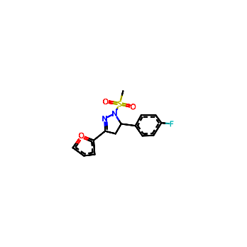 CS(=O)(=O)N1N=C(c2ccco2)CC1c1ccc(F)cc1